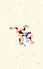 CCOC(C)(OCC)OP(=O)(CC)C[C@@H](CI)NC(=O)O